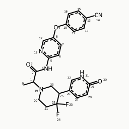 CC(C(=O)Nc1ccc(Oc2ccc(C#N)cc2)cn1)N1CCC(F)(F)C(c2ccc(=O)[nH]c2)C1